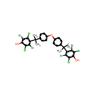 CC(C)(c1ccc(Oc2ccc(C(C)(C)c3c(Br)c(Br)c(O)c(Br)c3Br)cc2)cc1)c1c(Br)c(Br)c(O)c(Br)c1Br